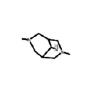 CN1CC2CN(C)CC(C1)C2N